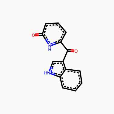 O=C(c1cccc(=O)[nH]1)c1c[nH]c2ccccc12